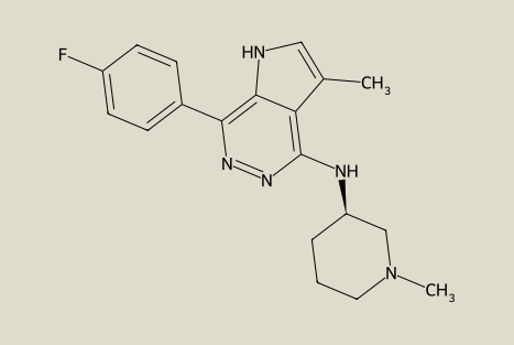 Cc1c[nH]c2c(-c3ccc(F)cc3)nnc(N[C@@H]3CCCN(C)C3)c12